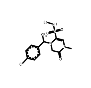 CCNS(=O)(=O)C1=CN(C)C(=O)CN1C(c1ccc(Cl)cc1)C(F)(F)F